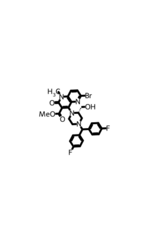 COC(=O)c1c(N2CCN(C(c3ccc(F)cc3)c3ccc(F)cc3)C[C@H]2CO)c2nc(Br)ccc2n(C)c1=O